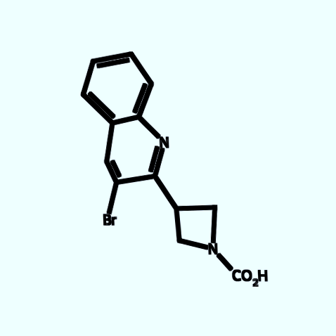 O=C(O)N1CC(c2nc3ccccc3cc2Br)C1